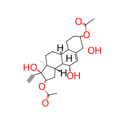 C#C[C@@]1(O)[C@H](OC(C)=O)C[C@H]2[C@@H]3[C@H](O)C=C4[C@@H](O)[C@H](OC(C)=O)CC[C@]4(C)[C@H]3CC[C@@]21C